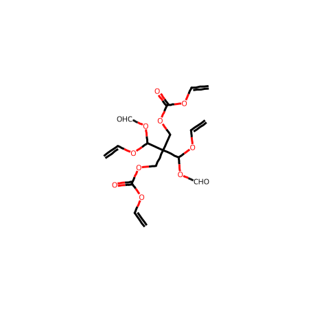 C=COC(=O)OCC(COC(=O)OC=C)(C(OC=C)OC=O)C(OC=C)OC=O